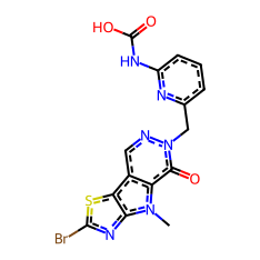 Cn1c2nc(Br)sc2c2cnn(Cc3cccc(NC(=O)O)n3)c(=O)c21